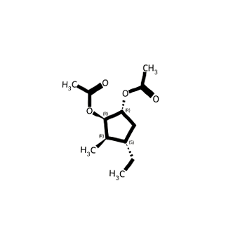 CC[C@H]1C[C@@H](OC(C)=O)[C@H](OC(C)=O)[C@@H]1C